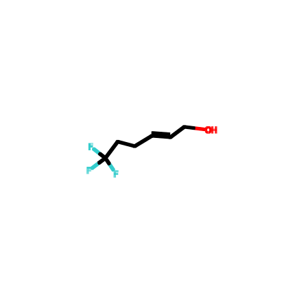 OC/C=C/CCC(F)(F)F